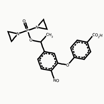 CC(OP(=O)(N1CC1)N1CC1)c1ccc(N=O)c(Oc2ccc(C(=O)O)cc2)c1